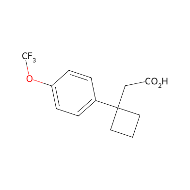 O=C(O)CC1(c2ccc(OC(F)(F)F)cc2)CCC1